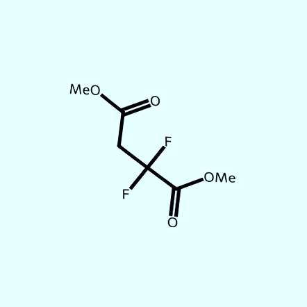 COC(=O)CC(F)(F)C(=O)OC